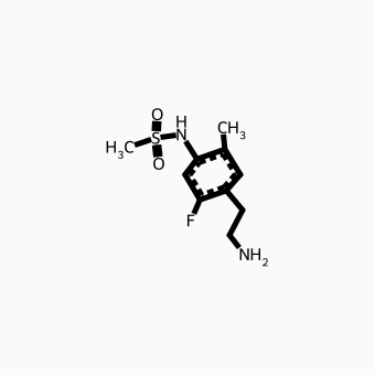 Cc1cc(CCN)c(F)cc1NS(C)(=O)=O